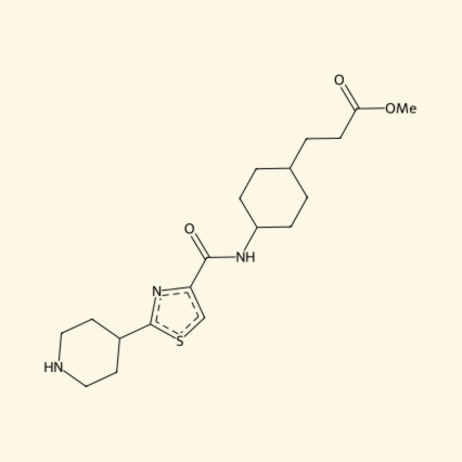 COC(=O)CCC1CCC(NC(=O)c2csc(C3CCNCC3)n2)CC1